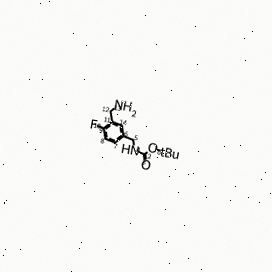 CC(C)(C)OC(=O)NCc1ccc(F)c(CN)c1